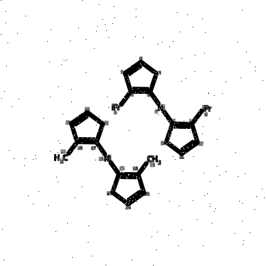 CC(C)C1=[C]([Ni][C]2=C(C(C)C)C=CC2)CC=C1.CC1=[C]([Ni][C]2=C(C)C=CC2)CC=C1